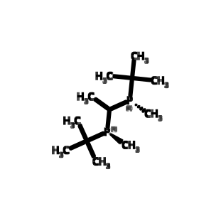 CC([P@@](C)C(C)(C)C)[P@@](C)C(C)(C)C